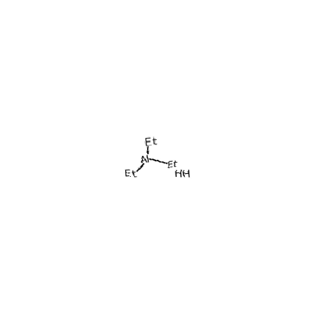 C[CH2][Al]([CH2]C)[CH2]C.[HH]